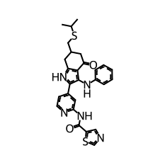 CC(C)SCC1CC(=O)c2c([nH]c(-c3ccnc(NC(=O)c4cncs4)c3)c2Nc2ccccc2)C1